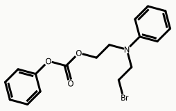 O=C(OCCN(CCBr)c1ccccc1)Oc1ccccc1